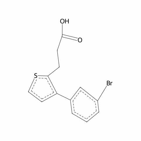 O=C(O)CCc1sccc1-c1cccc(Br)c1